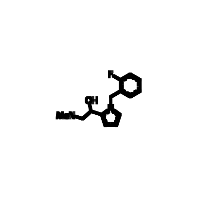 CNCC(O)c1cccn1Cc1ccccc1F